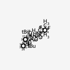 Cc1c(F)ccc(C(C)(C)NC(=O)[C@@H]2CN(C(=O)OC(C)(C)C)[C@H](CO[Si](c3ccccc3)(c3ccccc3)C(C)(C)C)CO2)c1F